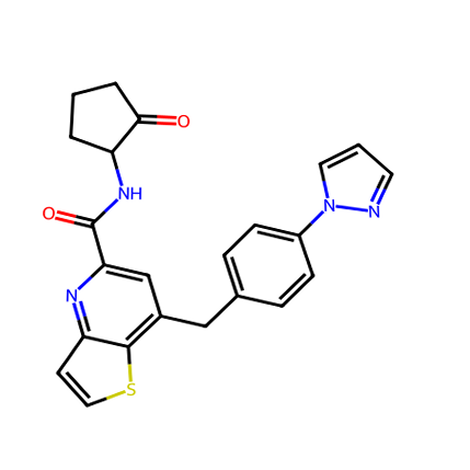 O=C(NC1CCCC1=O)c1cc(Cc2ccc(-n3cccn3)cc2)c2sccc2n1